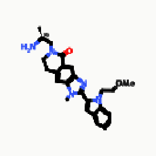 COCCn1c(-c2nc3cc4c(cc3n2C)CCN(C[C@@H](C)N)C4=O)cc2ccccc21